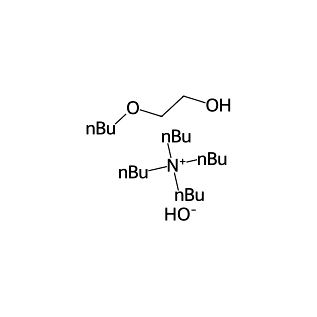 CCCCOCCO.CCCC[N+](CCCC)(CCCC)CCCC.[OH-]